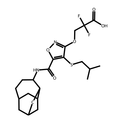 CC(C)CSc1c(OCC(F)(F)C(=O)O)noc1C(=O)NC1CCC2CC3CC(C2)C1C3